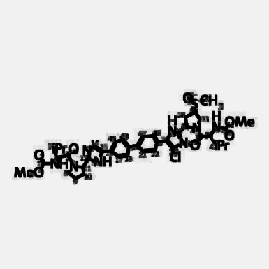 COC(=O)N[C@H](C(=O)N1CCCC1c1ncc(-c2ccc(-c3ccc(-c4[nH]c([C@@H]5C[C@H]([S+](C)[O-])CN5C(=O)[C@@H](NC(=O)OC)C(C)C)nc4Cl)cc3)cc2)[nH]1)C(C)C